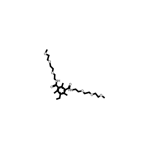 CCc1c(C)c(C(=O)NCCOCCOCCOC)c(C)c(C(=O)NCCOCCOCCOC)c1C